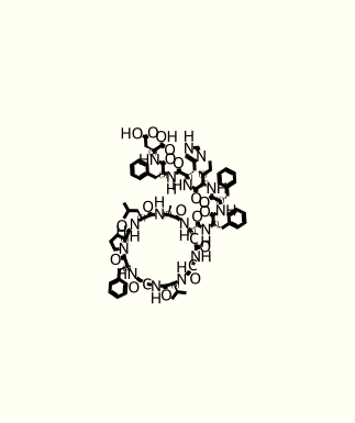 CC[C@H](C)[C@H](NC(=O)[C@H](Cc1ccccc1)NC(=O)[C@H](Cc1ccccc1)NC(=O)[C@@H]1CC(=O)NCC(=O)N[C@@H](C(C)C)C(=O)NCC(=O)N[C@@H](Cc2ccccc2)C(=O)N2CCC[C@H]2C(=O)N[C@@H](CC(C)C)C(=O)N[C@@H](C)C(=O)N1)C(=O)N[C@@H](Cc1c[nH]cn1)C(=O)N[C@@H](Cc1ccccc1)C(=O)N[C@@H](CC(=O)O)C(=O)O